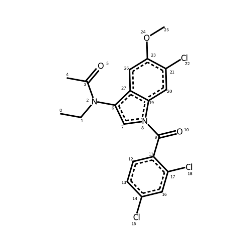 CCN(C(C)=O)c1cn(C(=O)c2ccc(Cl)cc2Cl)c2cc(Cl)c(OC)cc12